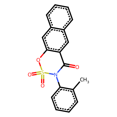 Cc1ccccc1N1C(=O)c2cc3ccccc3cc2OS1(=O)=O